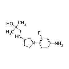 CC(C)(O)CNC1CCN(c2ccc(N)cc2F)C1